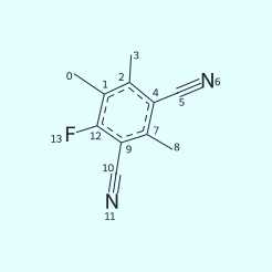 Cc1c(C)c(C#N)c(C)c(C#N)c1F